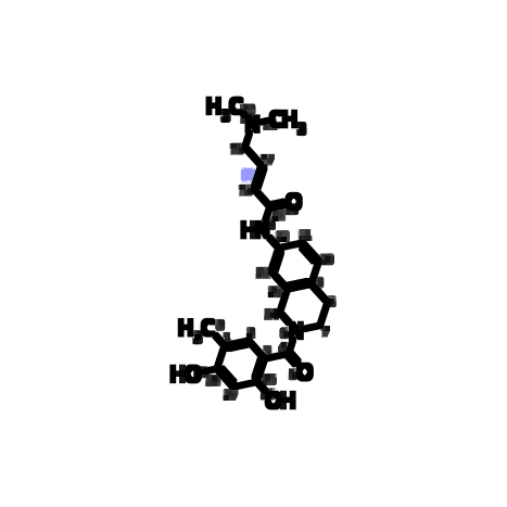 Cc1cc(C(=O)N2CCc3ccc(NC(=O)/C=C/CN(C)C)cc3C2)c(O)cc1O